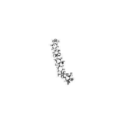 CCCCC1CCC(C2COC(c3ccc(C4CCC(C(F)(F)Oc5cc(F)c(F)c(F)c5)CC4)c(F)c3)OC2)CC1